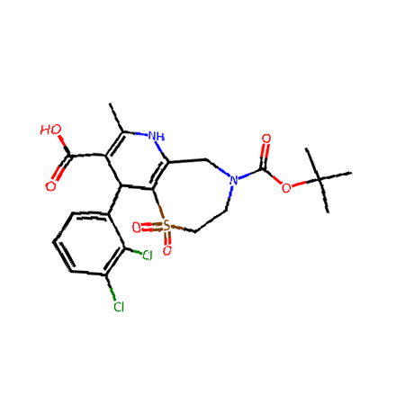 CC1=C(C(=O)O)C(c2cccc(Cl)c2Cl)C2=C(CN(C(=O)OC(C)(C)C)CCS2(=O)=O)N1